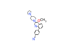 COc1c(N2CCC(N3CCCC3)CC2)cnc2c(-c3ccc(C#N)cc3)cccc12